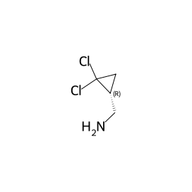 NC[C@H]1CC1(Cl)Cl